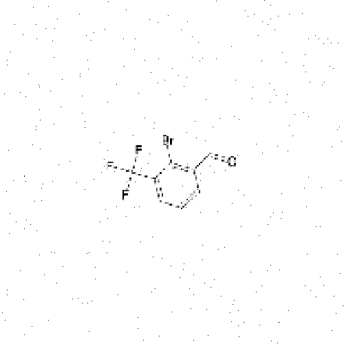 O=Cc1cccc(C(F)(F)F)c1Br